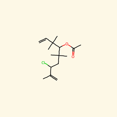 C=CC(C)(C)C(OC(C)=O)C(C)(C)CC(Cl)C(=C)C